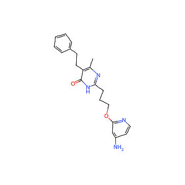 Cc1nc(CCCOc2cc(N)ccn2)[nH]c(=O)c1CCc1ccccc1